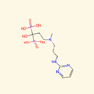 CN(CCCNc1ncccn1)CCC(O)(P(=O)(O)O)P(=O)(O)O